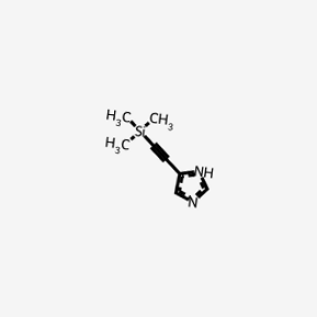 C[Si](C)(C)C#Cc1cnc[nH]1